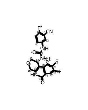 CCN(C(=O)Nc1ccc(F)c(C#N)c1)[C@H]1COCc2[nH]c(=O)c3cc(F)c(F)cc3c21